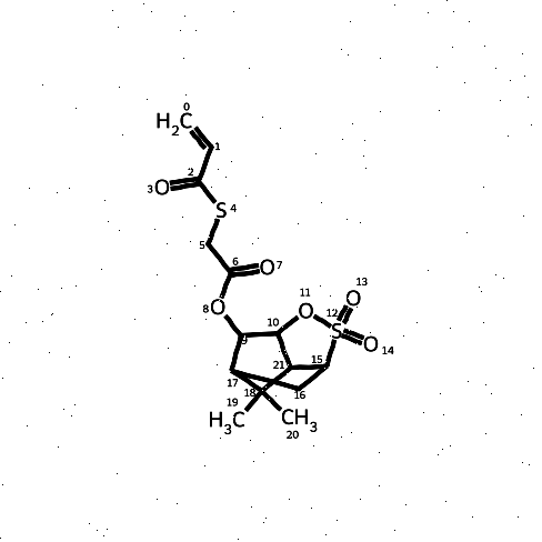 C=CC(=O)SCC(=O)OC1C2OS(=O)(=O)C3CC1C(C)(C)C23